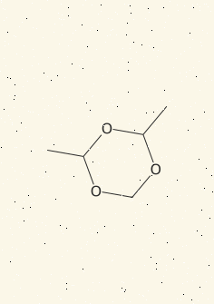 CC1OCOC(C)O1